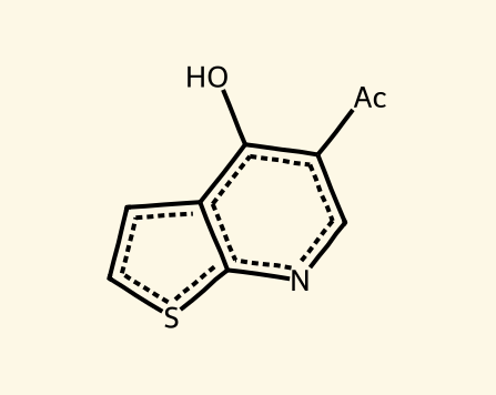 CC(=O)c1cnc2sccc2c1O